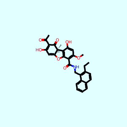 CCc1ccc2ccccc2c1CNC(=O)c1c(OC)cc(O)c2c1OC1=CC(O)=C(C(C)=O)C(=O)[C@]12C